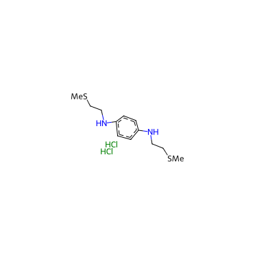 CSCCNc1ccc(NCCSC)cc1.Cl.Cl